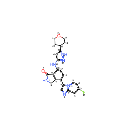 O=C1NCc2c(-c3cnc4cc(F)ccn34)ccc(Nc3cc(C4CCOCC4)[nH]n3)c21